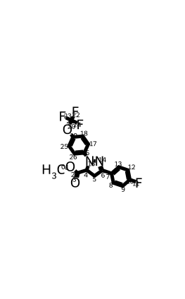 COC(=O)C1CC(c2ccc(F)cc2)=NN1c1ccc(OC(F)(F)F)cc1